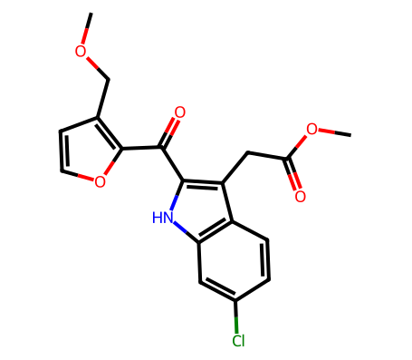 COCc1ccoc1C(=O)c1[nH]c2cc(Cl)ccc2c1CC(=O)OC